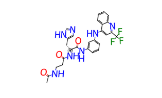 CC(=O)NCCC(=O)N[C@H](Cc1cnc[nH]1)C(=O)Nc1cccc(Nc2cc(C(F)(F)F)nc3ccccc23)c1